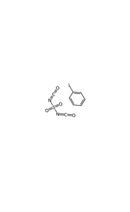 Ic1ccccc1.O=C=NS(=O)(=O)N=C=O